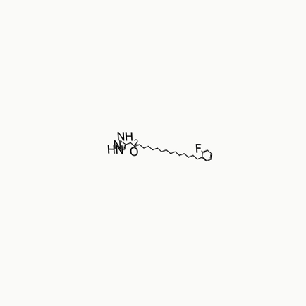 Nc1n[nH]cc1CC(=O)CCCCCCCCCCCCCCc1ccccc1F